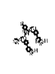 COc1ccc2c(N3CCOc4ccc(-c5cnc6nc[nH]c6c5)cc4C3)nc(C)nc2c1.c1cc(N2CCOc3ccc(-c4ccc5nc[nH]c5c4)cc3C2)ncn1